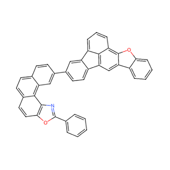 c1ccc(-c2nc3c(ccc4ccc5ccc(-c6ccc7c(c6)-c6cccc8c6c-7cc6c7ccccc7oc86)cc5c43)o2)cc1